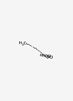 CCCCCCCCCCCCCCCCCCNc1ccc2oc(=O)ccc2c1